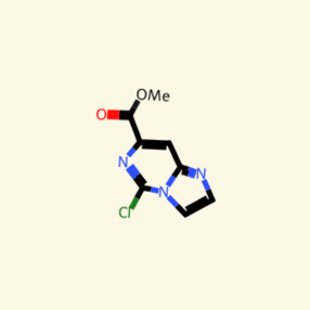 COC(=O)c1cc2nccn2c(Cl)n1